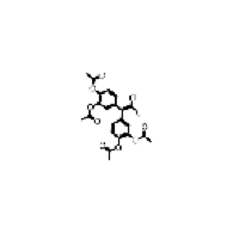 CC(=O)Oc1ccc(C(=C(Cl)Cl)c2ccc(OC(C)=O)c(OC(C)=O)c2)cc1OC(C)=O